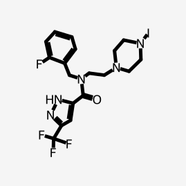 O=C(c1cc(C(F)(F)F)n[nH]1)N(CCN1CCN(I)CC1)Cc1ccccc1F